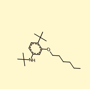 CCCCCCOc1cc(NC(C)(C)C)ccc1C(C)(C)C